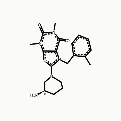 Cc1ccccc1Cn1c(N2CCC[C@@H](N)C2)nc2c1c(=O)n(C)c(=O)n2C